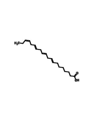 CC/C=C\C/C=C/C/C=C/C/C=C/CCCCCCC(=O)O